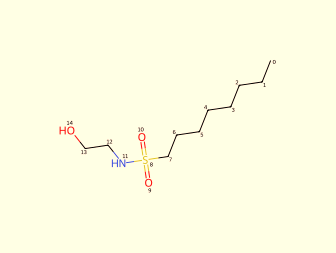 CCCCCCCCS(=O)(=O)NCCO